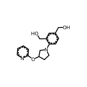 OCc1ccc(N2CCC(Oc3ccccn3)C2)c(CO)c1